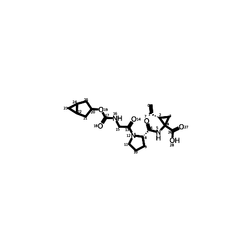 C=C[C@@H]1CC1(NC(=O)[C@@H]1CCCN1C(=O)CNC(=O)OC1CC2CC2C1)C(=O)O